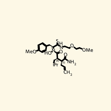 C=CC[C@H](C(N)=O)[C@@H](CC(C)C)C(=O)N(O)[C@@H](Cc1ccc(OC)cc1)C(=S)NCCOCCOC